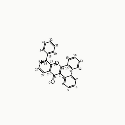 O=c1c(-c2ccccc2)c(-c2ccccc2)oc2c(-c3ccccc3)nccc12